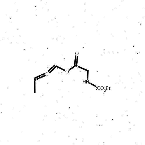 CC=C=COC(=O)CNC(=O)OCC